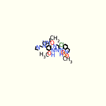 C=CC(=O)Nc1cc(Nc2ncc(Cl)c(Nc3cccc4c3N(S(=O)(=O)CC)CC4)n2)c(OC)cc1N(C)CCN1CCC1